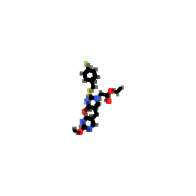 CCOC(=O)Cn1cc(Cc2cnc(OC)nc2)c(=O)nc1SCc1ccc(F)cc1